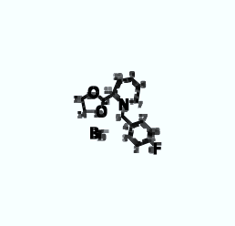 Fc1ccc(C[n+]2ccccc2C2OCCO2)cc1.[Br-]